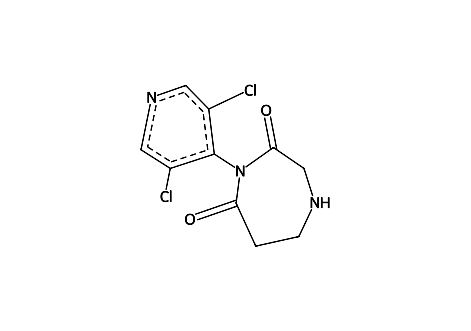 O=C1CCNCC(=O)N1c1c(Cl)cncc1Cl